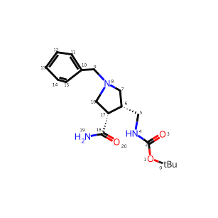 CC(C)(C)OC(=O)NC[C@H]1CN(Cc2ccccc2)C[C@H]1C(N)=O